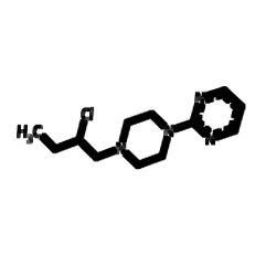 CCC(Cl)CN1CCN(c2ncccn2)CC1